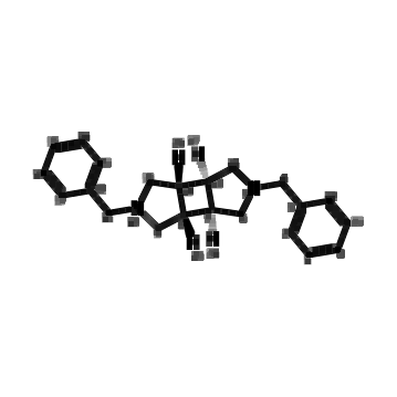 c1ccc(CN2C[C@H]3[C@@H]4CN(Cc5ccccc5)C[C@@H]4[C@H]3C2)cc1